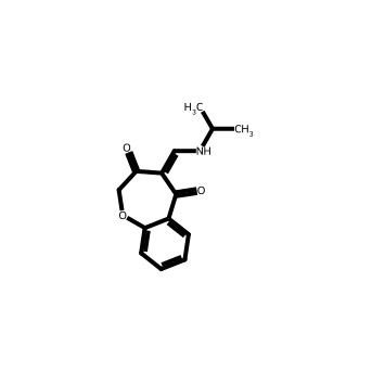 CC(C)N/C=C1/C(=O)COc2ccccc2C1=O